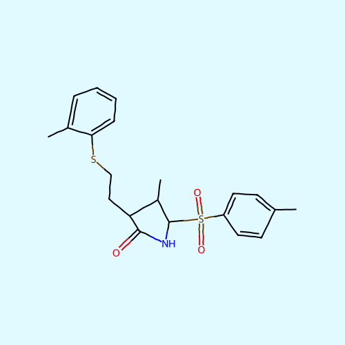 Cc1ccc(S(=O)(=O)C2NC(=O)C(CCSc3ccccc3C)C2C)cc1